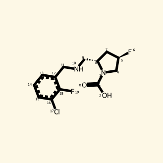 O=C(O)N1C[C@H](F)C[C@H]1CNCc1cccc(Cl)c1F